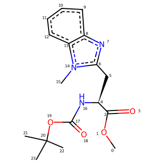 COC(=O)[C@H](Cc1nc2ccccc2n1C)NC(=O)OC(C)(C)C